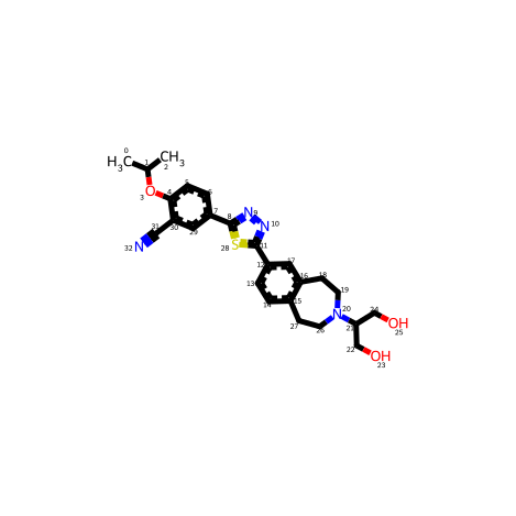 CC(C)Oc1ccc(-c2nnc(-c3ccc4c(c3)CCN(C(CO)CO)CC4)s2)cc1C#N